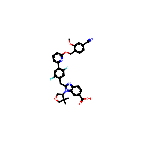 COc1cc(C#N)ccc1COc1cccc(-c2cc(F)c(Cc3nc4ccc(C(=O)O)cc4n3C3COCC3(C)C)cc2F)n1